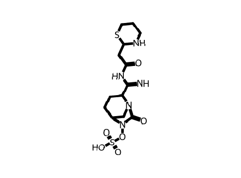 N=C(NC(=O)CC1NCCCS1)C1CCC2CN1C(=O)N2OS(=O)(=O)O